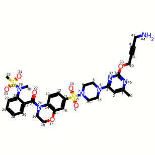 Cc1cc(N2CCN(S(=O)(=O)c3ccc4c(c3)OCCN4C(=O)c3ccccc3N(C)S(C)(=O)=O)CC2)nc(OCC#CCN)n1